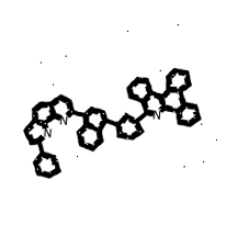 c1ccc(-c2ccc3ccc4ccc(-c5ccc(-c6cccc(-c7nc8c9ccccc9c9ccccc9c8c8ccccc78)c6)c6ccccc56)nc4c3n2)cc1